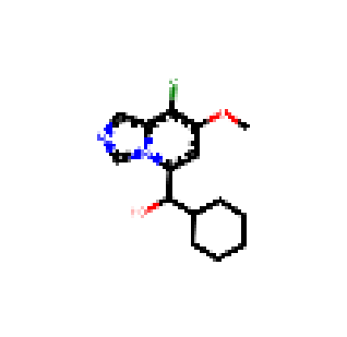 COc1cc(C(O)C2CCCCC2)n2cncc2c1Cl